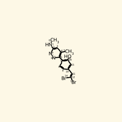 CNc1cc(C)c(-c2ccc(C=C(Br)Br)cc2O)nn1